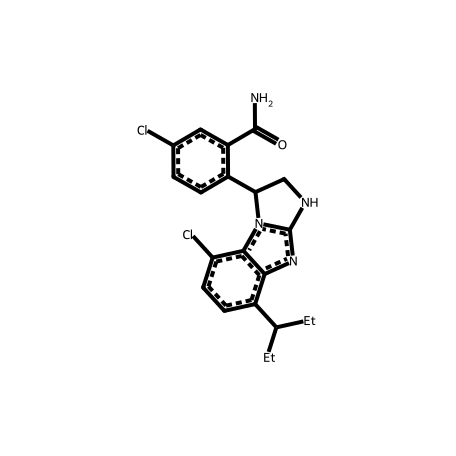 CCC(CC)c1ccc(Cl)c2c1nc1n2C(c2ccc(Cl)cc2C(N)=O)CN1